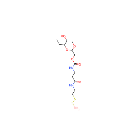 BSSCCNC(=O)CCNC(=O)OCC(OC)OC(CC)CO